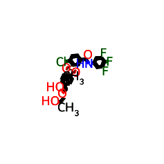 C[C@@H](O)COC[C@]1(O)C2CC(S(=O)(=O)c3cc(C(=O)Nc4cc(F)c(F)c(F)c4)ccc3Cl)CC1[C@@H]2C